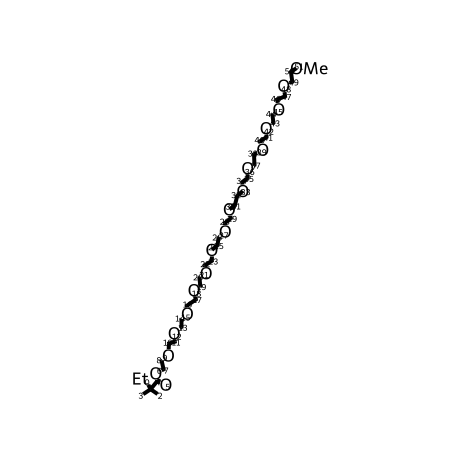 CCC(C)(C)C(=O)OCCOCCOCCOCCOCCOCCOCCOCCOCCOCCOCCOCCOCCOCCOCCOC